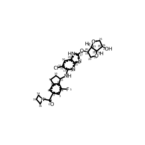 O=C(c1cc(F)c2c(c1)CCC2Nc1nc2nc(O[C@@H]3CO[C@H]4[C@@H]3OC[C@H]4O)[nH]c2cc1Cl)N1CCC1